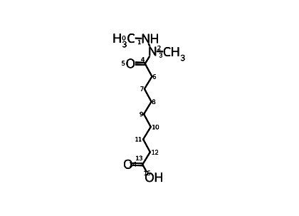 CNN(C)C(=O)CCCCCCCC(=O)O